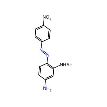 CC(=O)Nc1cc(N)ccc1N=Nc1ccc([N+](=O)[O-])cc1